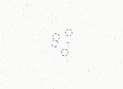 NCCNc1cnc2ccc(Oc3cc(NC(=O)Nc4ccc(Cl)c(C(F)(F)F)c4)ccc3F)cc2n1